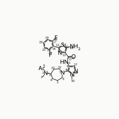 CC(=O)N(C)[C@@H]1CCCN(c2c(NC(=O)c3nc(-c4c(F)cccc4F)sc3N)cnn2C)CC1